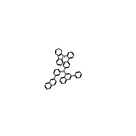 C1=Cc2c(n(-c3ccccc3-c3ccc(N(c4cccc(-c5ccc6ccccc6c5)c4)c4cc(-c5ccccc5)cc5ccccc45)cc3)c3ccccc23)CC1